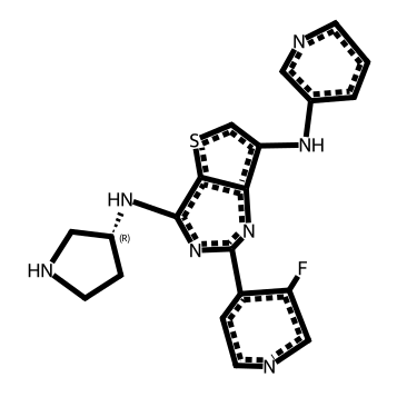 Fc1cnccc1-c1nc(N[C@@H]2CCNC2)c2scc(Nc3cccnc3)c2n1